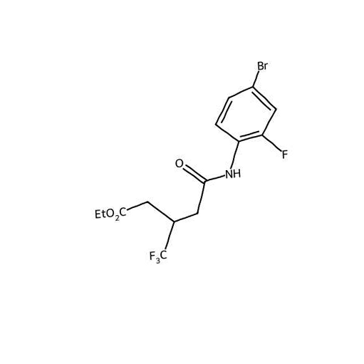 CCOC(=O)CC(CC(=O)Nc1ccc(Br)cc1F)C(F)(F)F